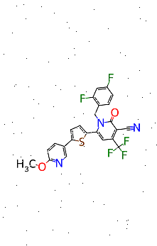 COc1ccc(-c2ccc(-c3cc(C(F)(F)F)c(C#N)c(=O)n3Cc3ccc(F)cc3F)s2)cn1